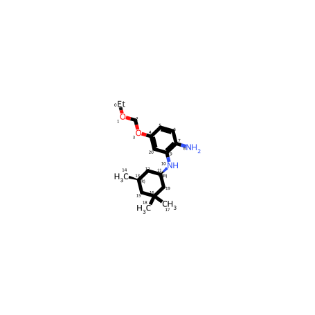 CCOCOc1ccc(N)c(N[C@@H]2C[C@H](C)CC(C)(C)C2)c1